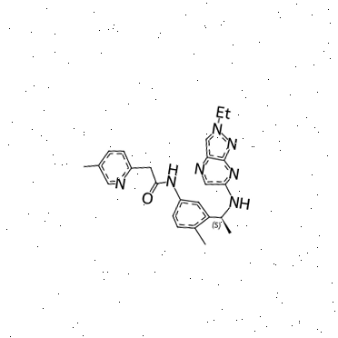 CCn1cc2ncc(N[C@@H](C)c3cc(NC(=O)Cc4ccc(C)cn4)ccc3C)nc2n1